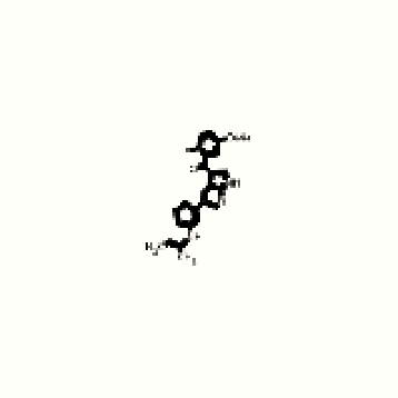 CC=C(C)Nc1cccc(-c2cnc3[nH]cc(C(=O)c4cc(OC)ccc4F)c3c2)c1